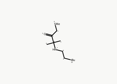 CSCC(=O)C(C)(C)NCCC(C)(C)C